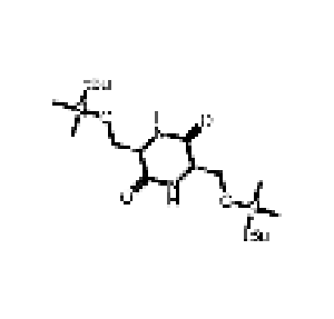 CC(C)(C)[Si](C)(C)OC[C@H]1NC(=O)[C@@H](CO[Si](C)(C)C(C)(C)C)NC1=O